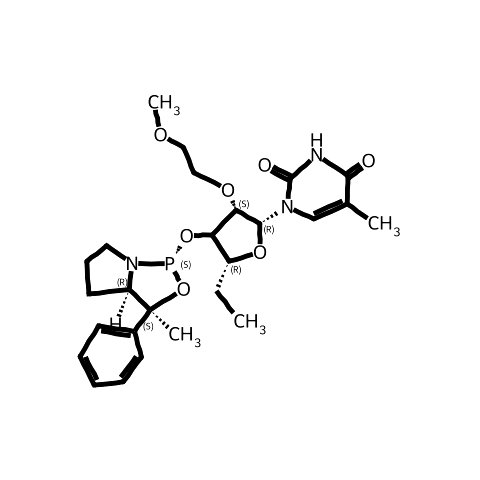 CC[C@H]1O[C@@H](n2cc(C)c(=O)[nH]c2=O)[C@@H](OCCOC)C1O[P@]1O[C@@](C)(c2ccccc2)[C@H]2CCCN21